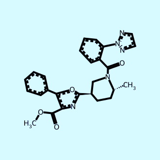 COC(=O)c1nc([C@@H]2CC[C@@H](C)N(C(=O)c3ccccc3-n3nccn3)C2)oc1-c1ccccc1